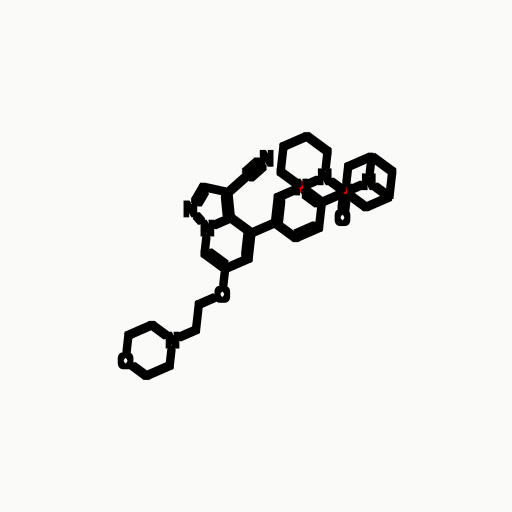 N#Cc1cnn2cc(OCCN3CCOCC3)cc(-c3ccc(N4CC5CC(C4)N5C(=O)N4CCCCC4)nc3)c12